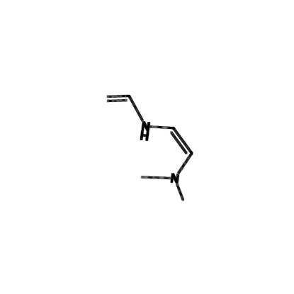 C=CN/C=C\N(C)C